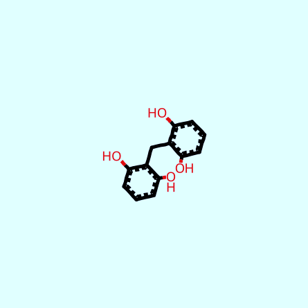 Oc1cccc(O)c1Cc1c(O)cccc1O